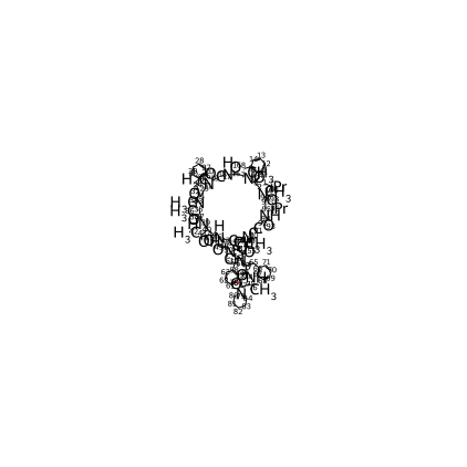 CC(C)C[C@H]1C(=O)N(C)[C@@H](Cc2ccccc2)C(=O)NCC(=O)N(C)[C@@H](Cc2ccccc2)C(=O)N(C)[C@@H](C)C(=O)N[C@@H]([C@@H](C)O)C(=O)N[C@H](C(=O)N(C)[C@@H](C)C(=O)N(Cc2ccccc2)[C@@H](Cc2ccccc2)C(=O)N[C@@H](C)C(=O)N2CCCCC2)CC(=O)N(C)CCC(=O)N[C@@H](C(C)C)C(=O)N1C